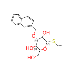 CCS[C@@H]1OC(CO)[C@@H](O)[C@H](OCc2ccc3ccccc3c2)C1O